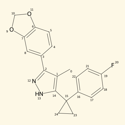 Cc1c(-c2ccc3c(c2)OCO3)n[nH]c1C1(c2ccc(F)cc2)CC1